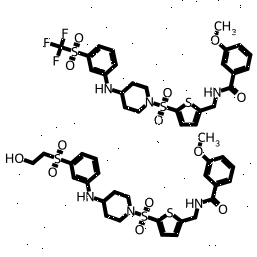 COc1cccc(C(=O)NCc2ccc(S(=O)(=O)N3CCC(Nc4cccc(S(=O)(=O)C(F)(F)F)c4)CC3)s2)c1.COc1cccc(C(=O)NCc2ccc(S(=O)(=O)N3CCC(Nc4cccc(S(=O)(=O)CCO)c4)CC3)s2)c1